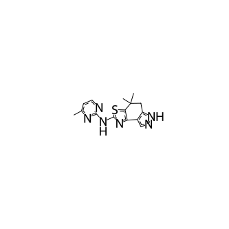 Cc1ccnc(Nc2nc3c(s2)C(C)(C)Cc2[nH]ncc2-3)n1